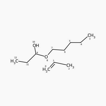 C=CC.CCCCCOC(O)CC